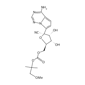 COCC(C)(C)OC(=O)OC[C@H]1O[C@@](C#N)(c2ccc3c(N)ncnn23)[C@H](O)[C@@H]1O